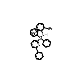 CC(C)c1cccc(C(C)C)c1N[Si](c1ccccc1)(c1ccccc1)c1cccc(-c2ccccc2)n1